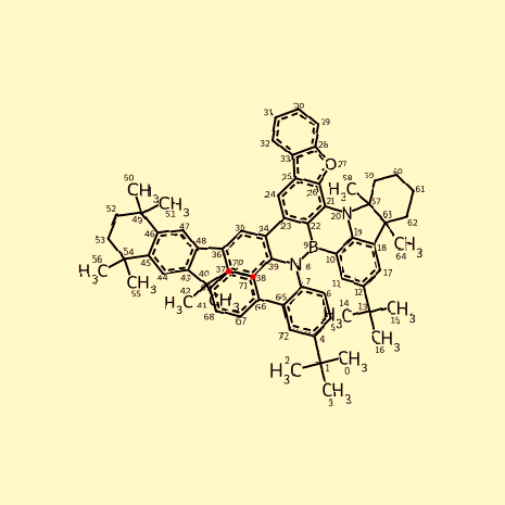 CC(C)(C)c1ccc(N2B3c4cc(C(C)(C)C)cc5c4N(c4c3c(cc3c4oc4ccccc43)-c3cc4c(cc32)C(C)(C)c2cc3c(cc2-4)C(C)(C)CCC3(C)C)C2(C)CCCCC52C)c(-c2ccccc2)c1